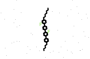 CCCCCCCc1ccc(-c2ccc(-c3ccc(-c4ccc(CCCCC)cc4)cc3F)cc2)c(F)c1